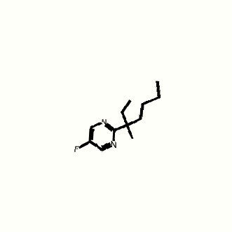 CCCCC(C)(CC)c1ncc(F)cn1